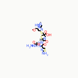 COCC1=CC(SCC2(C(=O)O)CS[C@@H]3C(NC(=O)C(=NOC(C)(C)C(=O)NN)c4csc(N)n4)C(=O)N3C2)=NC2=CN(C)NN12